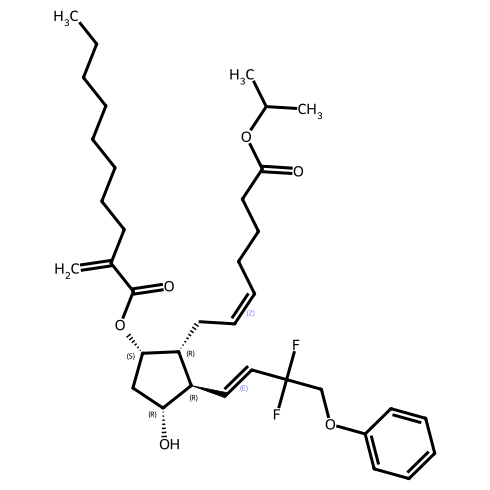 C=C(CCCCCCCC)C(=O)O[C@H]1C[C@@H](O)[C@H](/C=C/C(F)(F)COc2ccccc2)[C@H]1C/C=C\CCCC(=O)OC(C)C